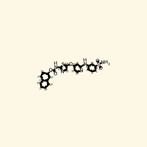 NS(=O)(=O)c1cccc(Nc2cc(Oc3cnc(NC(=O)Oc4ccc5ccccc5c4)s3)ccn2)c1